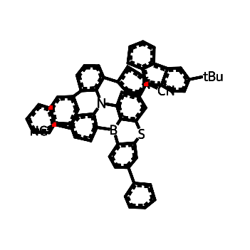 CC(C)(C)c1ccc2c(c1)c1ccccc1n2-c1cc2c3c(c1)N(c1c(-c4ccc(C#N)cc4)cccc1-c1ccc(C#N)cc1)c1cc(-c4ccccc4)ccc1B3c1ccc(-c3ccccc3)cc1S2